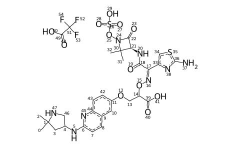 CC1(C)CC(Nc2ccc3cc(OCC(O/N=C(\C(=O)N[C@@H]4C(=O)N(OS(=O)(=O)O)C4(C)C)c4csc(N)n4)C(=O)O)ccc3n2)CN1.O=C(O)C(F)(F)F